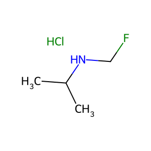 CC(C)NCF.Cl